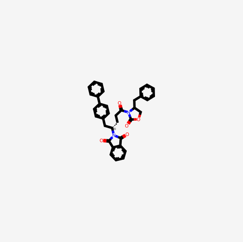 O=C(CC[C@@H](Cc1ccc(-c2ccccc2)cc1)N1C(=O)c2ccccc2C1=O)N1C(=O)OCC1Cc1ccccc1